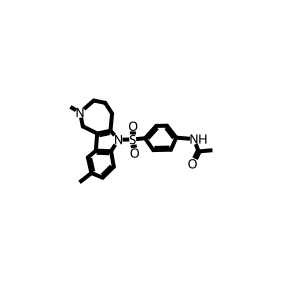 CC(=O)Nc1ccc(S(=O)(=O)n2c3c(c4cc(C)ccc42)CN(C)CCC3)cc1